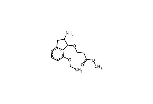 CCOc1cccc2c1C(OCCC(=O)OC)C(N)C2